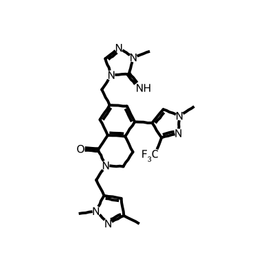 Cc1cc(CN2CCc3c(cc(Cn4cnn(C)c4=N)cc3-c3cn(C)nc3C(F)(F)F)C2=O)n(C)n1